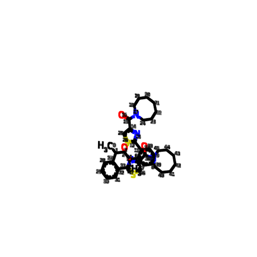 CC(C(=O)C(C)c1ccccc1-c1nc(C(=O)N2CCCCCCC2)cs1)c1ccccc1-c1nc(C(=O)N2CCCCCCC2)cs1